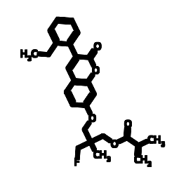 C=C(C)C(=O)OCC(C)(CF)COc1ccc2cc(-c3ccccc3CC)c(=O)oc2c1